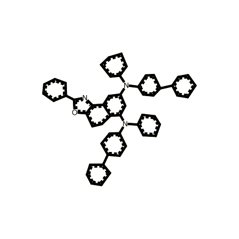 c1ccc(-c2ccc(N(c3ccccc3)c3cc(N(c4ccccc4)c4ccc(-c5ccccc5)cc4)c4ccc5oc(-c6ccccc6)nc5c4c3)cc2)cc1